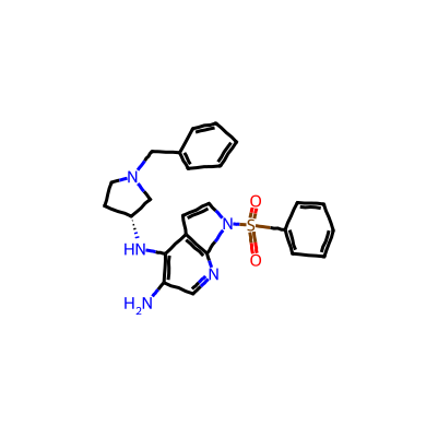 Nc1cnc2c(ccn2S(=O)(=O)c2ccccc2)c1N[C@@H]1CCN(Cc2ccccc2)C1